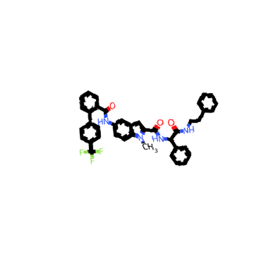 Cn1c(C(=O)NC(C(=O)NCCc2ccccc2)c2ccccc2)cc2cc(NC(=O)c3ccccc3-c3ccc(C(F)(F)F)cc3)ccc21